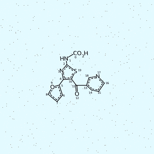 O=C(O)Nc1nc(-c2ccco2)c(C(=O)c2cccnc2)s1